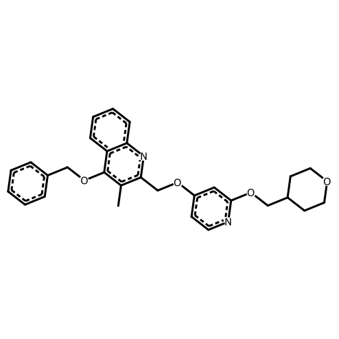 Cc1c(COc2ccnc(OCC3CCOCC3)c2)nc2ccccc2c1OCc1ccccc1